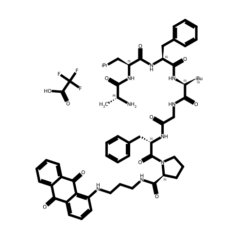 CC[C@H](C)[C@H](NC(=O)[C@H](Cc1ccccc1)NC(=O)[C@H](CC(C)C)NC(=O)[C@@H](C)N)C(=O)NCC(=O)N[C@@H](Cc1ccccc1)C(=O)N1CCC[C@H]1C(=O)NCCCNc1cccc2c1C(=O)c1ccccc1C2=O.O=C(O)C(F)(F)F